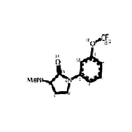 CNC1CCN(c2cccc(OC(F)(F)F)c2)C1=O